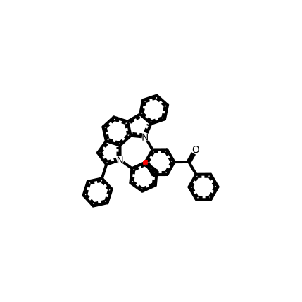 O=C(c1ccccc1)c1cccc(-n2c3ccccc3c3ccc4cc(-c5ccccc5)n(-c5ccccc5)c4c32)c1